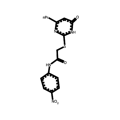 CCCc1cc(=O)[nH]c(SCC(=O)Nc2ccc([N+](=O)[O-])cc2)n1